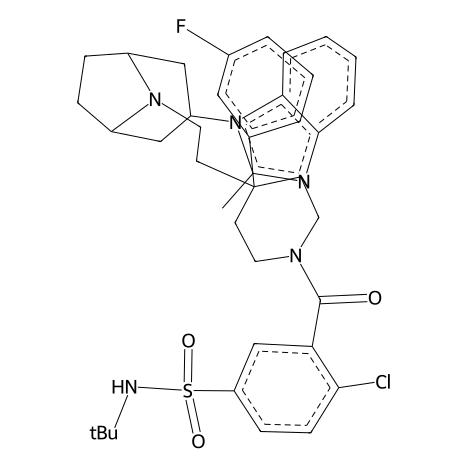 Cc1nc2ccccc2n1C1CC2CCC(C1)N2CCC1(c2cccc(F)c2)CCN(C(=O)c2cc(S(=O)(=O)NC(C)(C)C)ccc2Cl)CC1